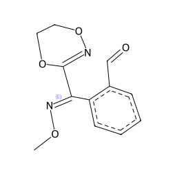 CO/N=C(/C1=NOCCO1)c1ccccc1C=O